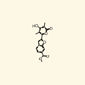 COC(=O)c1ccc2cc(-c3oc(=O)c(C)c(O)c3C)oc2c1